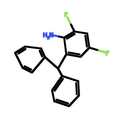 Nc1c(F)cc(F)cc1C(c1ccccc1)c1ccccc1